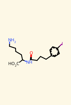 NCCCCC(NC(=O)CCCc1ccc(I)cc1)C(=O)O